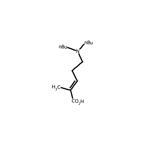 CCCCN(CCC=C(C)C(=O)O)CCCC